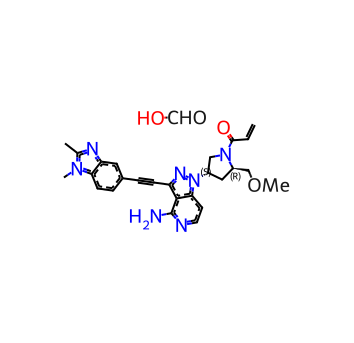 C=CC(=O)N1C[C@@H](n2nc(C#Cc3ccc4c(c3)nc(C)n4C)c3c(N)nccc32)C[C@@H]1COC.O=CO